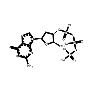 Nc1nc2c(ncn2[C@H]2C[C@H](OP(=O)(O)OP(=O)(O)OP(=O)(O)O)[C@@H](C(=O)O)O2)c(=O)[nH]1